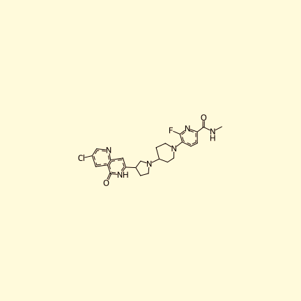 CNC(=O)c1ccc(N2CCC(N3CCC(c4cc5ncc(Cl)cc5c(=O)[nH]4)C3)CC2)c(F)n1